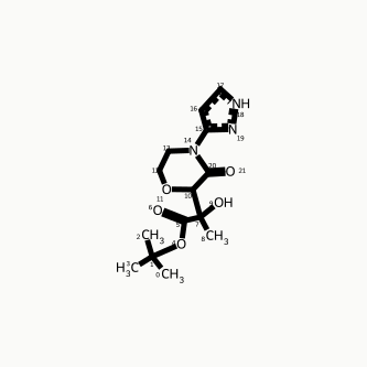 CC(C)(C)OC(=O)C(C)(O)C1OCCN(c2cc[nH]n2)C1=O